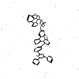 CC1(C)OB(c2ccc3oc4cccc5c6ccccc6c2c3c45)OC1(C)Cc1cc2oc3ccc(-c4cccc(-c5nc(-c6ccccc6)cc(-c6ccccc6)n5)c4)c4c5ccccc5c(c1)c2c34